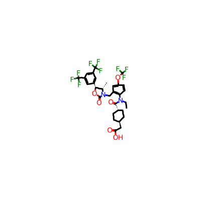 CCN(c1ccc(OC(F)(F)F)cc1CN1C(=O)O[C@H](c2cc(C(F)(F)F)cc(C(F)(F)F)c2)[C@@H]1C)C(=O)[C@H]1CC[C@H](CC(=O)O)CC1